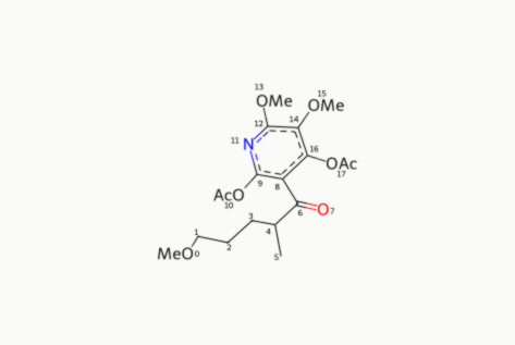 COCCCC(C)C(=O)c1c(OC(C)=O)nc(OC)c(OC)c1OC(C)=O